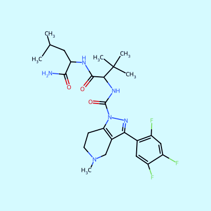 CC(C)CC(NC(=O)C(NC(=O)n1nc(-c2cc(F)c(F)cc2F)c2c1CCN(C)C2)C(C)(C)C)C(N)=O